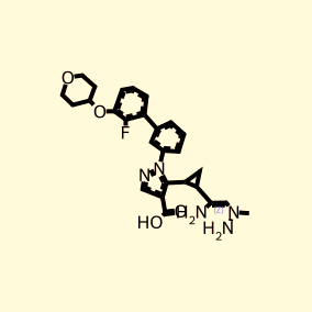 CN(N)/C=C(\N)C1CC1c1c(C(=O)O)cnn1-c1cccc(-c2cccc(OC3CCOCC3)c2F)c1